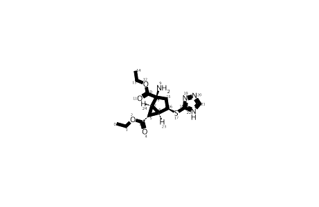 CCOC(=O)[C@H]1[C@H]2[C@@H]1[C@](N)(C(=O)OCC)C[C@H]2Sc1nnc[nH]1